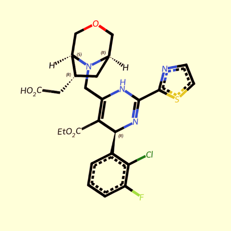 CCOC(=O)C1=C(CN2[C@H]3COC[C@@H]2[C@@H](CC(=O)O)C3)NC(c2nccs2)=N[C@H]1c1cccc(F)c1Cl